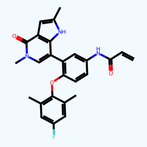 C=CC(=O)Nc1ccc(Oc2c(C)cc(F)cc2C)c(-c2cn(C)c(=O)c3cc(C)[nH]c23)c1